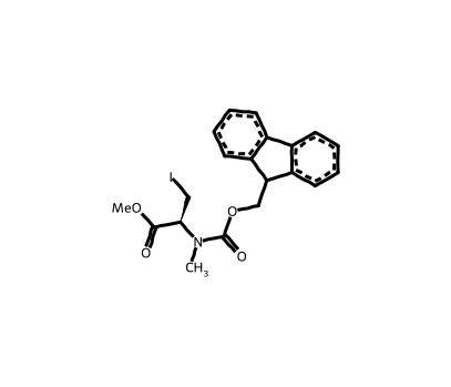 COC(=O)[C@@H](CI)N(C)C(=O)OCC1c2ccccc2-c2ccccc21